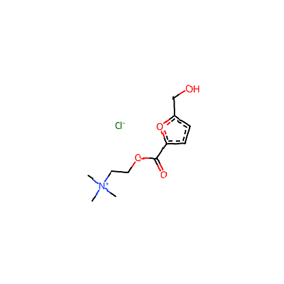 C[N+](C)(C)CCOC(=O)c1ccc(CO)o1.[Cl-]